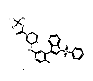 CC(C)(C)OC(=O)N1CCC[C@H](Nc2ncc(I)c(-c3cn(S(=O)(=O)c4ccccc4)c4ccccc34)n2)C1